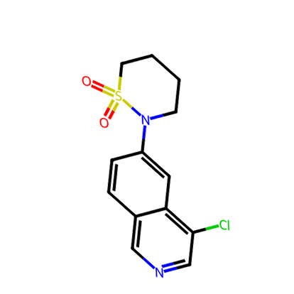 O=S1(=O)CCCCN1c1ccc2cncc(Cl)c2c1